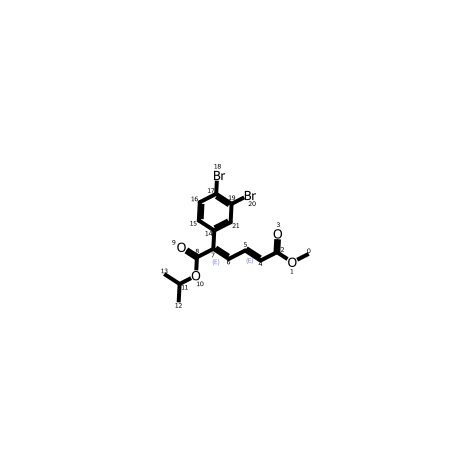 COC(=O)/C=C/C=C(/C(=O)OC(C)C)c1ccc(Br)c(Br)c1